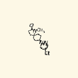 CCc1cnn(C2CCC3(CCC(=O)N3C)CC2)c1